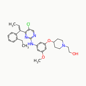 C/C=C(\c1ccccc1CC)c1nc(Nc2cc(OC)cc(OC3CCN(CCO)CC3)c2)ncc1Cl